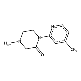 CN1CCN(c2cc(C(F)(F)F)ccn2)C(=O)C1